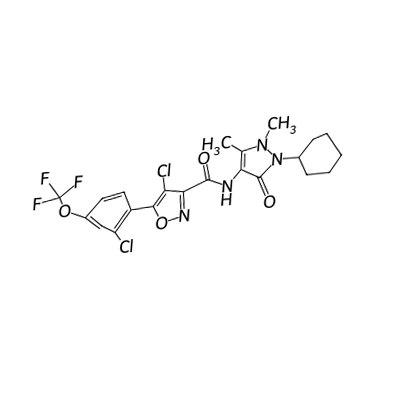 Cc1c(NC(=O)c2noc(-c3ccc(OC(F)(F)F)cc3Cl)c2Cl)c(=O)n(C2CCCCC2)n1C